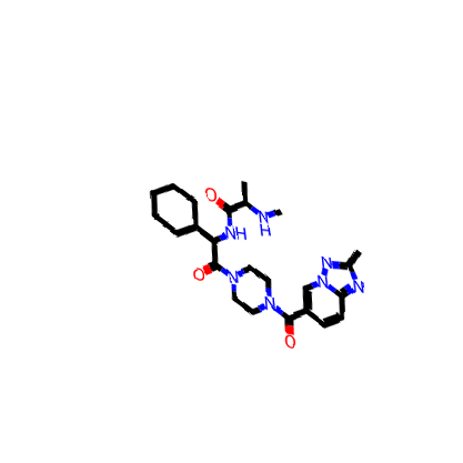 CNC(C)C(=O)NC(C(=O)N1CCN(C(=O)c2ccc3nc(C)nn3c2)CC1)C1CCCCC1